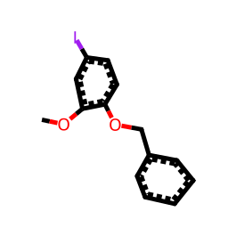 COc1cc(I)ccc1OCc1ccccc1